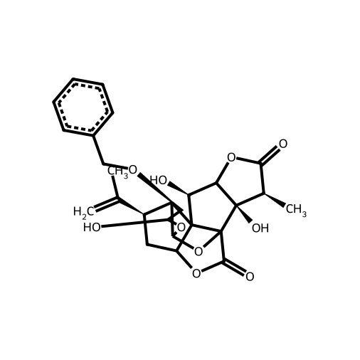 C=C(C)[C@@H]1CC2OC(=O)C34OC5OC(O)[C@H](OCc6ccccc6)C51C23[C@@H](O)C1OC(=O)[C@@H](C)[C@@]14O